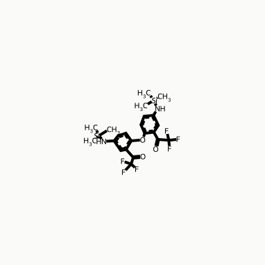 C[Si](C)(C)Nc1ccc(Oc2ccc(N[Si](C)(C)C)cc2C(=O)C(F)(F)F)c(C(=O)C(F)(F)F)c1